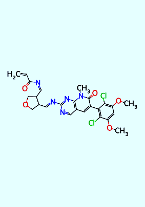 C=CC(=O)/N=C\C1COCC1/C=N/c1ncc2cc(-c3c(Cl)c(OC)cc(OC)c3Cl)c(=O)n(C)c2n1